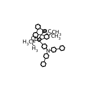 CC(C)(C)c1ccc2c(c1)C1(c3ccccc3-c3ccccc3-c3ccccc31)c1cc(C(C)(C)C)cc(-c3ccc(N(c4ccc(-c5ccccc5)cc4)c4ccc(-c5ccccc5)cc4)cc3)c1-2